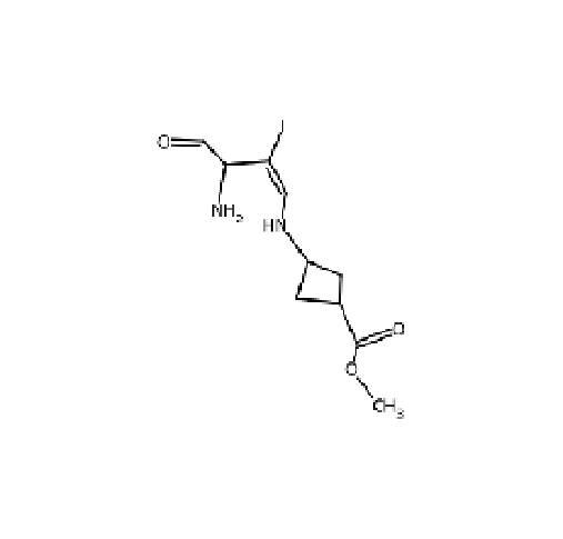 COC(=O)C1CC(N/C=C(/I)C(N)C=O)C1